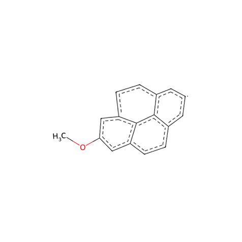 COc1cc2ccc3c[c]cc4ccc(c1)c2c34